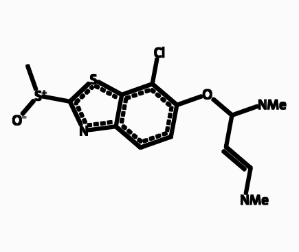 CNC=CC(NC)Oc1ccc2nc([S+](C)[O-])sc2c1Cl